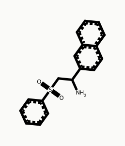 NC(CS(=O)(=O)c1ccccc1)c1ccc2ccccc2c1